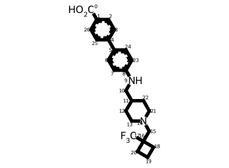 O=C(O)c1ccc(-c2ccc(NCC3CCN(CC4(C(F)(F)F)CCC4)CC3)cc2)cc1